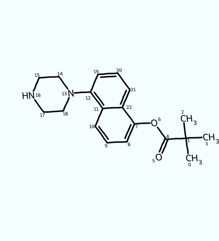 CC(C)(C)C(=O)Oc1cccc2c(N3CCNCC3)cccc12